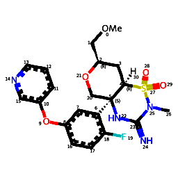 COC[C@H]1C[C@@H]2[C@](c3cc(Oc4cccnc4)ccc3F)(CO1)NC(=N)N(C)S2(=O)=O